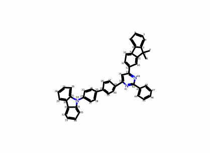 CC1(C)c2ccccc2-c2ccc(-c3cc(-c4ccc(-c5ccc(-n6c7ccccc7c7ccccc76)cc5)cc4)nc(-c4ccccc4)n3)cc21